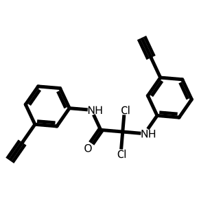 C#Cc1cccc(NC(=O)C(Cl)(Cl)Nc2cccc(C#C)c2)c1